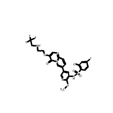 COc1ncc(-c2ccc3ncc(OCCNCC(F)(F)F)c(=O)n3c2)cc1NS(=O)(=O)c1ccc(F)cc1Cl